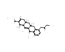 CC(C)CC(=O)Cc1ccc(O)c2c1C[C@H]1C[C@H]3CC(O)=C(C(N)=O)C(=O)[C@@]3(O)C(O)=C1C2=O